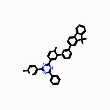 C/C=C(\C=C/C(C)C)c1nc(C2=CC(c3cccc(-c4ccc5c(c4)C(C)(C)c4ccccc4-5)c3)C(C)C=C2)nc(-c2ccccc2)n1